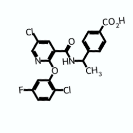 CC(NC(=O)c1cc(Cl)cnc1Oc1cc(F)ccc1Cl)c1ccc(C(=O)O)cc1